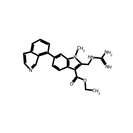 CCOC(=O)c1c(CNC(=N)N)n(C)c2cc(-c3cccc4ccncc34)ccc12